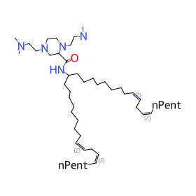 CCCCC/C=C\C/C=C\CCCCCCCCC(CCCCCCCC/C=C\C/C=C\CCCCC)NC(=O)C1CN(CCN(C)C)CCN1CCN(C)C